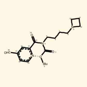 CC(C)(C)OC(=O)N(CCCCN1CCC1)C(=O)c1cc(C=O)ccn1